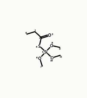 CCC(=O)S[Si](OC)(OC)OC